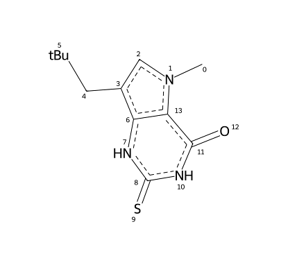 Cn1cc(CC(C)(C)C)c2[nH]c(=S)[nH]c(=O)c21